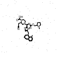 Cc1cccc2cccc(Cc3cnc4c(N5CCN(C(=O)O)C(CC#N)C5)nc(OCC5CCCN5C)nn34)c12